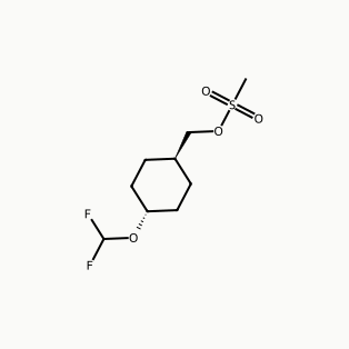 CS(=O)(=O)OC[C@H]1CC[C@H](OC(F)F)CC1